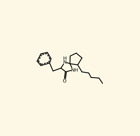 CCCCCC1CCCC12NC(=O)C(Cc1ccccc1)N2